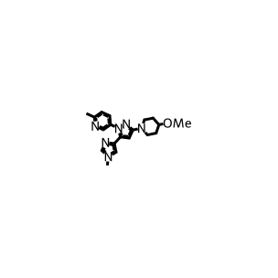 COC1CCN(c2cc(-c3cn(C)cn3)n(-c3ccc(C)nc3)n2)CC1